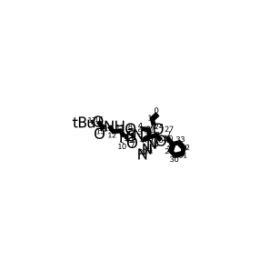 C=CC[C@H]1CN(S(=O)(=O)N(C)CCNC(=O)OC(C)(C)C)C[C@@]1(N=[N+]=[N-])C(=O)O[C@H](C)c1ccccc1